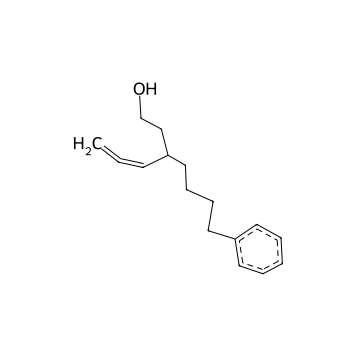 C=C=CC(CCO)CCCCc1ccccc1